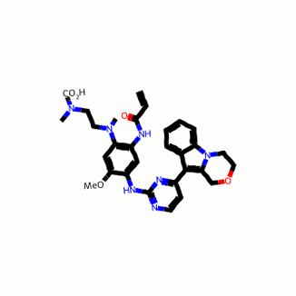 C=CC(=O)Nc1cc(Nc2nccc(-c3c4n(c5ccccc35)CCOC4)n2)c(OC)cc1N(C)CCN(C)C(=O)O